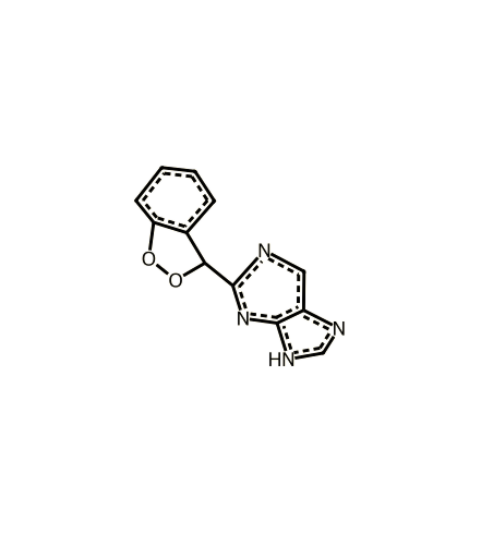 c1ccc2c(c1)OOC2c1ncc2nc[nH]c2n1